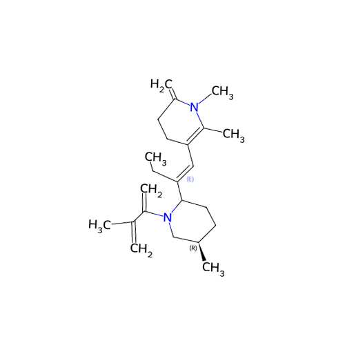 C=C(C)C(=C)N1C[C@H](C)CCC1/C(=C/C1=C(C)N(C)C(=C)CC1)CC